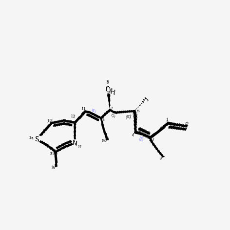 C=C/C(C)=C\[C@@H](C)[C@H](O)/C(C)=C/c1csc(C)n1